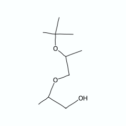 CC(CO)OCC(C)OC(C)(C)C